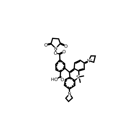 C[Si]1(C)C2=CC(=[N+]3CCC3)C=CC2=C(c2cc(C(=O)ON3C(=O)CCC3=O)ccc2C(=O)O)c2ccc(N3CCC3)cc21